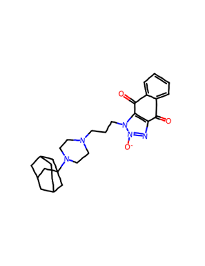 O=C1c2ccccc2C(=O)c2c1n[n+]([O-])n2CCCN1CCN(C23CC4CC(CC(C4)C2)C3)CC1